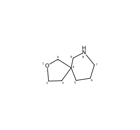 [CH]1OCCC12CCCNC2